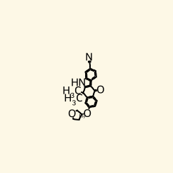 CC1(C)c2cc(O[C@H]3CCOC3)ccc2C(=O)c2c1[nH]c1cc(C#N)ccc21